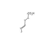 C/C=C/CCC(=O)O